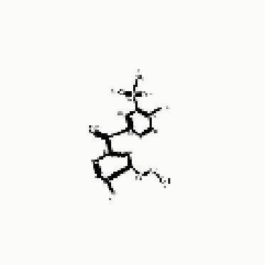 O=C(c1ccc(F)c(SOO)c1)c1ccc(F)c(S(=O)(=O)O)c1